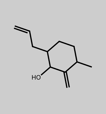 C=CCC1CCC(C)C(=C)C1O